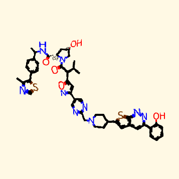 Cc1ncsc1-c1ccc(C(C)NC(=O)[C@@H]2C[C@@H](O)CN2C(=O)C(c2cc(-c3cnc(CN4CCC(c5cc6cc(-c7ccccc7O)nnc6s5)CC4)nc3)no2)C(C)C)cc1